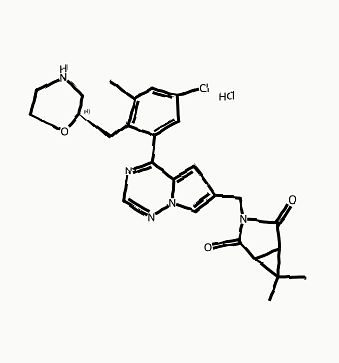 Cc1cc(Cl)cc(-c2ncnn3cc(CN4C(=O)C5C(C4=O)C5(C)C)cc23)c1C[C@@H]1CNCCO1.Cl